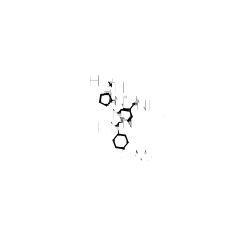 CO[C@H]1CC[C@H](Nc2ncc(C(N)=O)c(N[C@@H]3CCC[C@H]3CO)n2)CC1